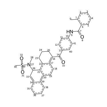 Cc1ccccc1C(=O)Nc1ccc(C(=O)C2=c3ccc4c(c3CCC2)C(N(C)S(C)(=O)=O)C=c2ccccc2=4)cc1